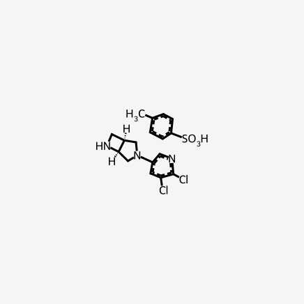 Cc1ccc(S(=O)(=O)O)cc1.Clc1cc(N2C[C@@H]3CN[C@@H]3C2)cnc1Cl